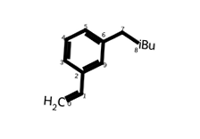 C=Cc1cccc(CC(C)CC)c1